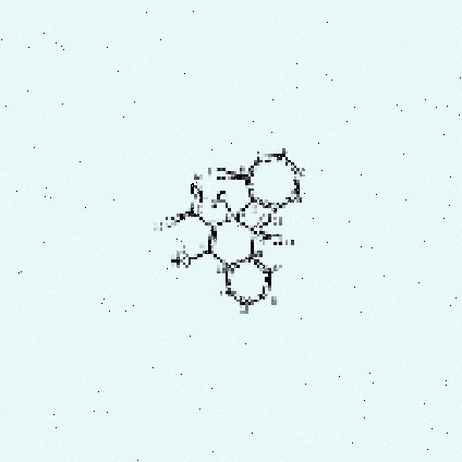 C[N+]1(c2cccccc2=O)C(C([N])=O)=C(O)c2ccccc2S1(=O)=O